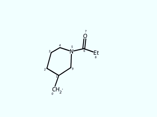 [CH2]C1CCCN(C(=O)CC)C1